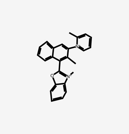 Cc1c(-[n+]2ccccc2C)cc2ccccc2c1-c1oc2ccccc2[n+]1C